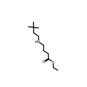 CCOC(=O)CCCNCCC(C)(C)C